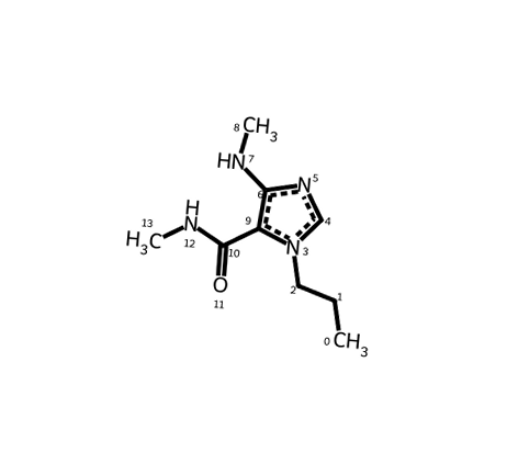 CCCn1cnc(NC)c1C(=O)NC